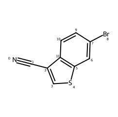 N#Cc1csc2cc(Br)ccc12